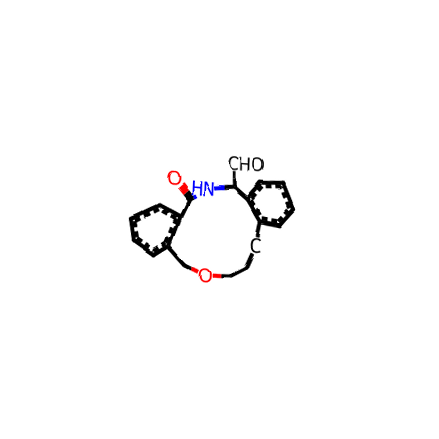 O=CC1NC(=O)c2ccccc2COCCCc2ccccc21